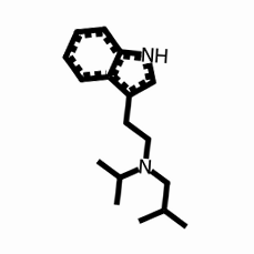 CC(C)CN(CCc1c[nH]c2ccccc12)C(C)C